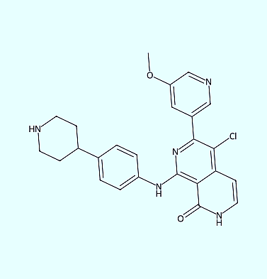 COc1cncc(-c2nc(Nc3ccc(C4CCNCC4)cc3)c3c(=O)[nH]ccc3c2Cl)c1